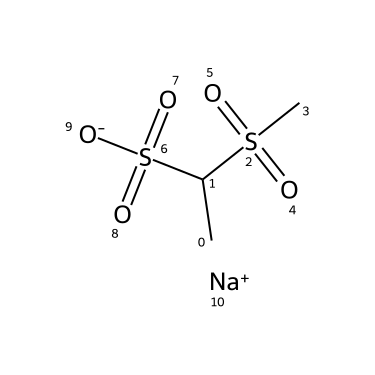 CC(S(C)(=O)=O)S(=O)(=O)[O-].[Na+]